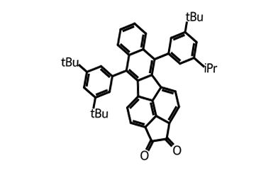 CC(C)c1cc(-c2c3ccccc3c(-c3cc(C(C)(C)C)cc(C(C)(C)C)c3)c3c4ccc5c(=O)c(=O)c6ccc(c23)c4c65)cc(C(C)(C)C)c1